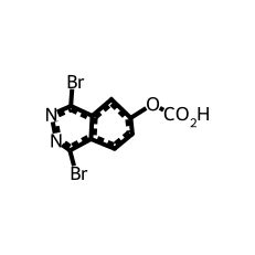 O=C(O)Oc1ccc2c(Br)nnc(Br)c2c1